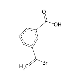 C=C(Br)c1cccc(C(=O)O)c1